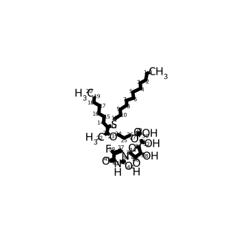 CCCCCCCCCCCCSC(CCCCCCC)C(C)OCCCOP(=O)(O)C(O)[C@H]1O[C@@H](n2cc(F)c(=O)[nH]c2=O)[C@H](O)[C@@H]1O